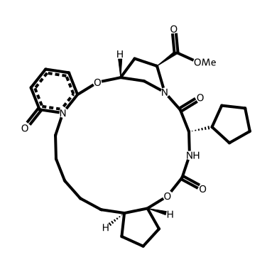 COC(=O)[C@@H]1C[C@@H]2CN1C(=O)[C@H](C1CCCC1)NC(=O)O[C@@H]1CCC[C@H]1CCCCCn1c(cccc1=O)O2